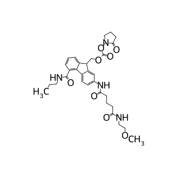 CCCNC(=O)c1cccc2c1-c1ccc(NC(=O)CCCC(=O)NCCOC)cc1C2COC(=O)ON1CCCC1=O